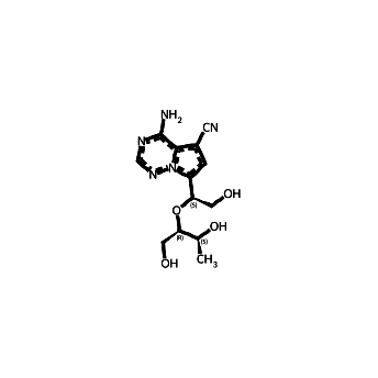 C[C@H](O)[C@@H](CO)O[C@H](CO)c1cc(C#N)c2c(N)ncnn12